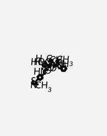 CC(=O)N[C@@H](Cc1ccccc1)C(=O)N[C@H](C(=O)N1C[C@H](O)C[C@H]1C(=O)NCc1ccc(-c2scnc2C)cc1)C(C)(C)C